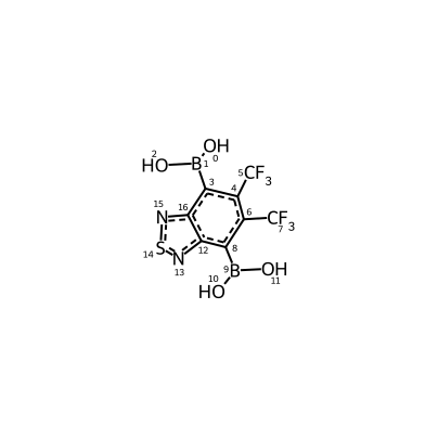 OB(O)c1c(C(F)(F)F)c(C(F)(F)F)c(B(O)O)c2nsnc12